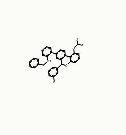 Fc1cccc(C2Oc3cccc(OC(F)F)c3-c3ccc(-c4ccccc4NCc4ccccc4)cc32)c1